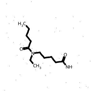 CCCCC(=O)N(CC)CCCCC([NH])=O